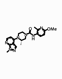 COc1ccc(NC(=O)N2CCN(c3ccnc4c3cnn4C)[C@@H](C)C2)c(C)n1